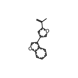 C=C(C)c1cc(-c2coc3ccccc23)co1